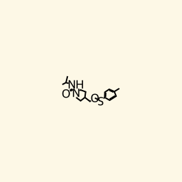 Cc1ccc(SOCC2CCN(C(=O)NC(C)C)CC2)cc1